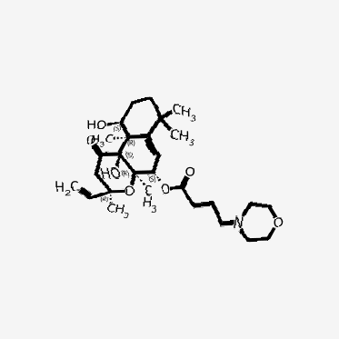 C=C[C@@]1(C)CC(=O)[C@@]2(O)[C@](C)(O1)[C@@H](OC(=O)CCCN1CCOCC1)C=C1C(C)(C)CC[C@H](O)[C@@]12C